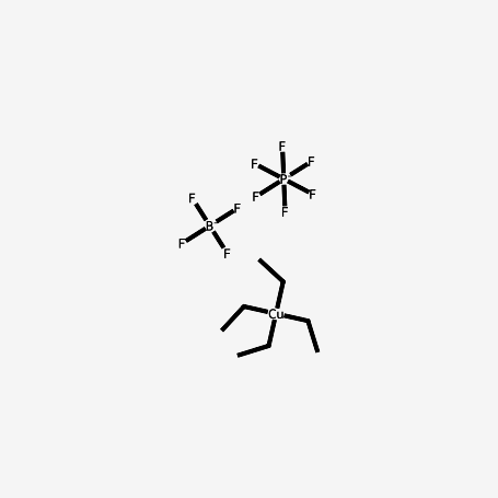 C[CH2][Cu]([CH2]C)([CH2]C)[CH2]C.F[B-](F)(F)F.F[P-](F)(F)(F)(F)F